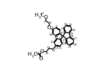 COCCOc1ccc(C2(c3ccc(CCCOC(C)=O)cc3)c3ccccc3-c3ccccc32)cc1